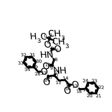 CC(C)(C)OC(=O)NCC(=O)NC(CCC(=O)OCc1ccccc1)C(=O)OCc1ccccc1